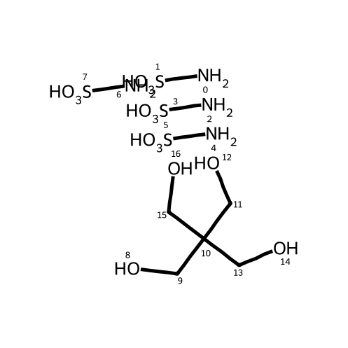 NS(=O)(=O)O.NS(=O)(=O)O.NS(=O)(=O)O.NS(=O)(=O)O.OCC(CO)(CO)CO